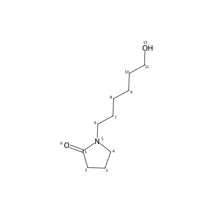 O=C1CCCN1CCCCCCO